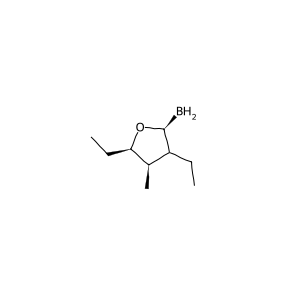 B[C@@H]1O[C@H](CC)[C@H](C)C1CC